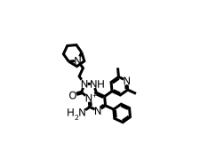 Cc1cc(-c2c(-c3ccccc3)nc(N)[n+]3c(=O)n(CCN4C5CCCC4CC5)[nH]c23)cc(C)n1